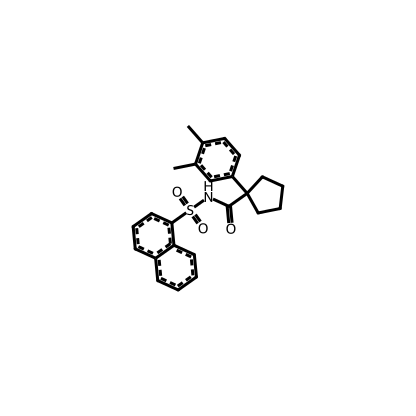 Cc1ccc(C2(C(=O)NS(=O)(=O)c3cccc4ccccc34)CCCC2)cc1C